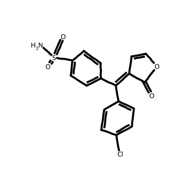 NS(=O)(=O)c1ccc(C(=C2C=COC2=O)c2ccc(Cl)cc2)cc1